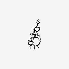 CC1CCOc2nn(C3CCN(C4COC4)CC3(F)F)c(Cl)c2Nc2ncc(Cl)c(n2)N1